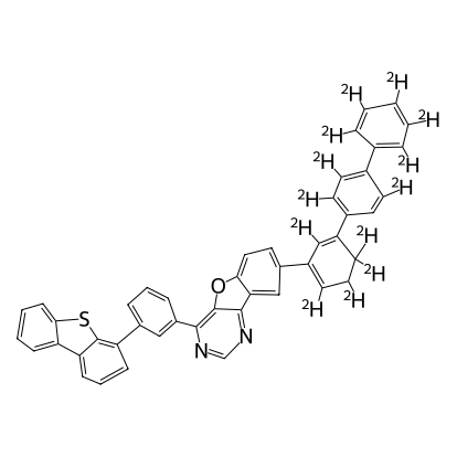 [2H]C1=C(c2cc([2H])c(-c3c([2H])c([2H])c([2H])c([2H])c3[2H])c([2H])c2[2H])C([2H])([2H])C([2H])C([2H])=C1c1ccc2oc3c(-c4cccc(-c5cccc6c5sc5ccccc56)c4)ncnc3c2c1